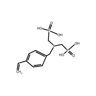 C=Cc1ccc(CN(CP(=O)(O)O)CP(=O)(O)O)cc1